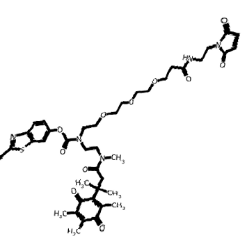 CC1=C(C)C(=O)C(C(C)(C)CC(=O)N(C)CCN(CCOCCOCCOCCC(=O)NCCN2C(=O)C=CC2=O)C(=O)Oc2ccc3nc(C#N)sc3c2)=C(C)C1=O